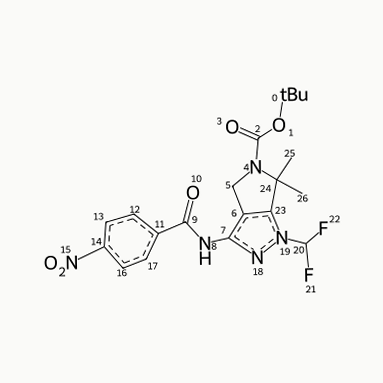 CC(C)(C)OC(=O)N1Cc2c(NC(=O)c3ccc([N+](=O)[O-])cc3)nn(C(F)F)c2C1(C)C